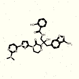 CN(C)c1nccc(-n2ccc(N3CCO[C@H](C(O)(CNC(=O)c4ccccc4O)Cc4ccc5c(N)noc5c4)C3=O)n2)n1